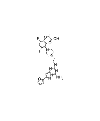 C[C@@H](Oc1cc(N2CCN(CCN(C)c3nc(N)n4nc(-c5ccco5)cc4n3)CC2)c(F)cc1F)C(=O)O